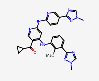 COc1c(Nc2cc(Nc3ccc(-c4ncn(C)n4)cn3)ncc2C(=O)C2CC2)cccc1-c1ncn(C)n1